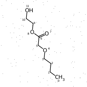 CCCCOCC(=O)OCCO